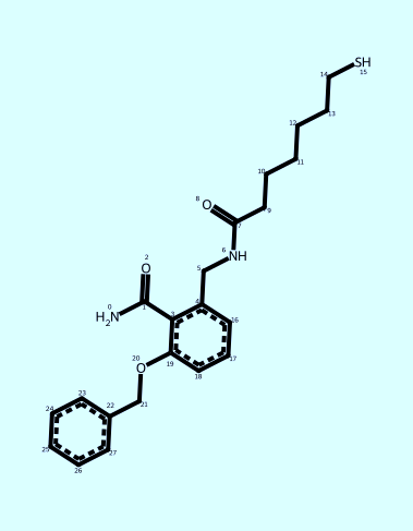 NC(=O)c1c(CNC(=O)[CH]CCCCCS)cccc1OCc1ccccc1